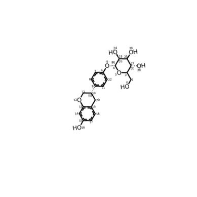 OCC1O[C@H](Oc2ccc([C@H]3COc4cc(O)ccc4C3)cc2)[C@@H](O)C(O)[C@@H]1O